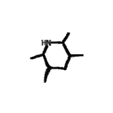 CC1CC(C)C(C)NC1C